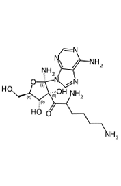 NCCCCC(N)C(=O)[C@@]1(O)[C@H](O)[C@@H](CO)O[C@@]1(N)n1cnc2c(N)ncnc21